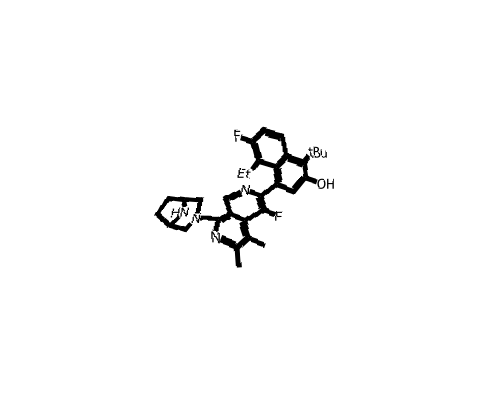 CCc1c(F)ccc2c(C(C)(C)C)c(O)cc(-c3ncc4c(N5CC6CCC(C5)N6)nc(C)c(C)c4c3F)c12